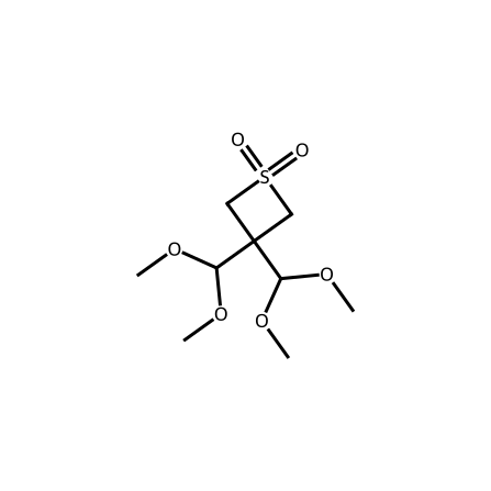 COC(OC)C1(C(OC)OC)CS(=O)(=O)C1